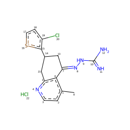 Cc1ccnc2c1C(=NNC(=N)N)CC(c1sccc1Cl)C2.Cl